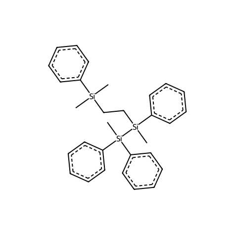 C[Si](C)(CC[Si](C)(c1ccccc1)[Si](C)(c1ccccc1)c1ccccc1)c1ccccc1